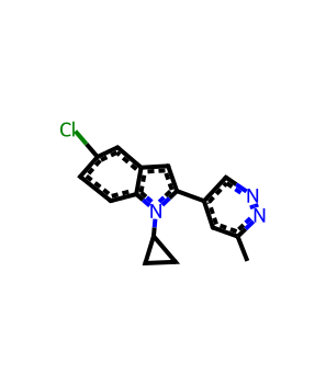 Cc1cc(-c2cc3cc(Cl)ccc3n2C2CC2)cnn1